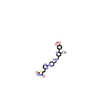 N#Cc1cc(CNCC2CCN(c3nccc(/C=C4\SC(=O)NC4=O)n3)CC2)cnc1-c1ccc2c(c1)OCO2